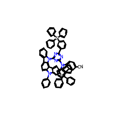 N#Cc1ccc2c(c1)c1ccccc1n2-c1nc(-c2cccc([Si](c3ccccc3)(c3ccccc3)c3ccccc3)c2)nc(-n2c3ccccc3c3ccc4c(c5ccc([Si](c6ccccc6)(c6ccccc6)c6ccccc6)cc5n4-c4ccccc4)c32)n1